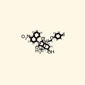 C[C@]12O[C@](CCOc3ccc(F)cc3)(CC1O)[C@H]1C(=O)N(c3ccc([N+](=O)[O-])c4ccccc34)C(=O)[C@H]12